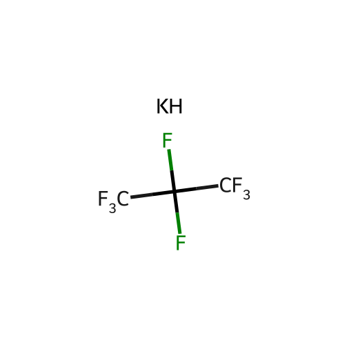 FC(F)(F)C(F)(F)C(F)(F)F.[KH]